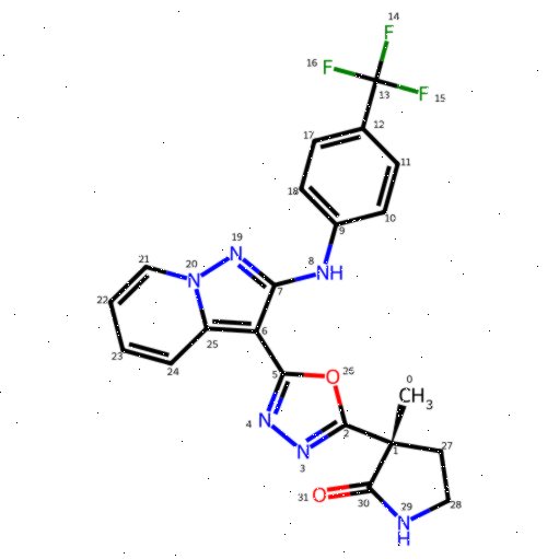 C[C@@]1(c2nnc(-c3c(Nc4ccc(C(F)(F)F)cc4)nn4ccccc34)o2)CCNC1=O